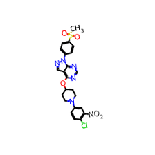 CS(=O)(=O)c1ccc(-n2ncc3c(OC4CCN(c5ccc(Cl)c([N+](=O)[O-])c5)CC4)ncnc32)cc1